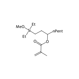 C=C(C)C(=O)OC(CCCCC)CC[Si](CC)(CC)OC